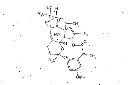 COc1cccc(N(C)C(=O)O[C@H]2C(C)=CC34C(=O)[C@@H](C=C5COC(C)(C)O[C@H]5[C@]23O)[C@H]2[C@@H](CC4C)C2(C)C)c1